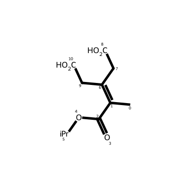 CC(C(=O)OC(C)C)=C(CC(=O)O)CC(=O)O